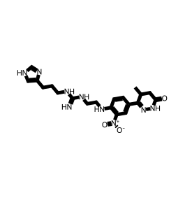 CC1CC(=O)NN=C1c1ccc(NCCNC(=N)NCCCc2c[nH]cn2)c([N+](=O)[O-])c1